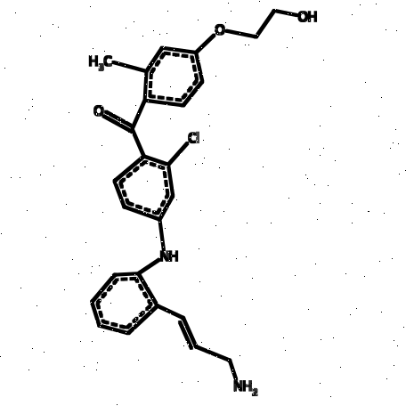 Cc1cc(OCCO)ccc1C(=O)c1ccc(Nc2ccccc2/C=C/CN)cc1Cl